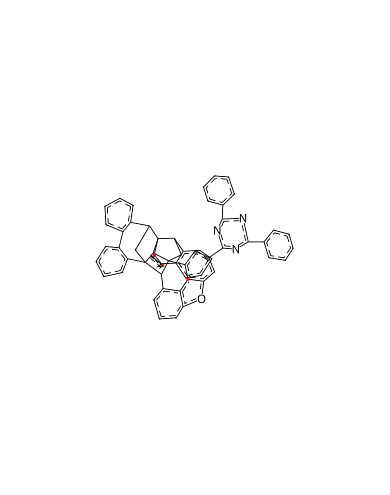 c1ccc(-c2nc(-c3ccccc3)nc(-c3cc4c5c(c3)oc3cccc(c35)C3C56CC(c7ccccc7-c7ccccc75)C57c8ccccc8-c8ccccc8C5CC43C67)n2)cc1